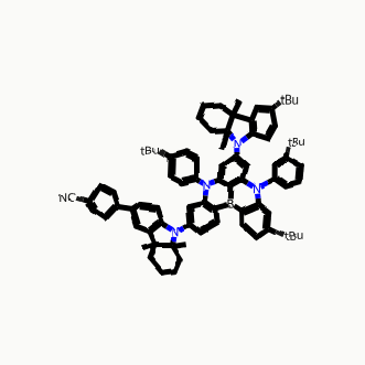 CC(C)(C)c1ccc(N2c3cc(N4c5ccc(-c6ccc(C#N)cc6)cc5C5(C)CCCCC45C)ccc3B3c4ccc(C(C)(C)C)cc4N(c4cccc(C(C)(C)C)c4)c4cc(N5c6ccc(C(C)(C)C)cc6C6(C)CCCCC56C)cc2c43)cc1